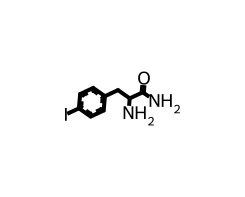 NC(=O)C(N)Cc1ccc(I)cc1